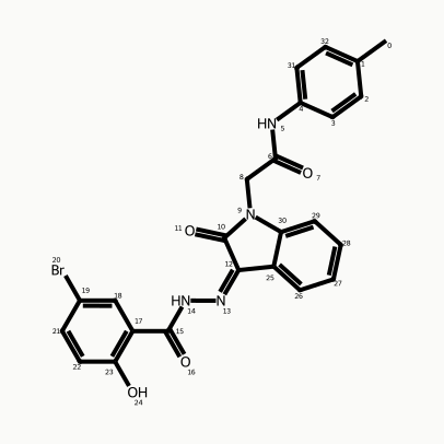 Cc1ccc(NC(=O)CN2C(=O)/C(=N\NC(=O)c3cc(Br)ccc3O)c3ccccc32)cc1